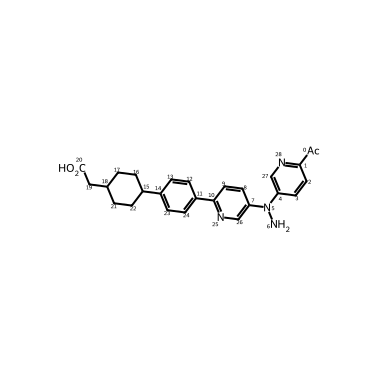 CC(=O)c1ccc(N(N)c2ccc(-c3ccc(C4CCC(CC(=O)O)CC4)cc3)nc2)cn1